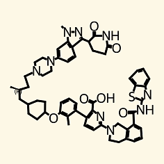 Cc1c(OC2CCC(C[C@@H](C)CCN3CCN(c4ccc5c(C6CCC(=O)NC6=O)nn(C)c5c4)CC3)CC2)cccc1-c1ccc(N2CCc3cccc(C(=O)Nc4nc5ccccc5s4)c3C2)nc1C(=O)O